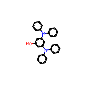 Oc1cc(N(c2ccccc2)c2ccccc2)cc(N(c2ccccc2)c2ccccc2)c1